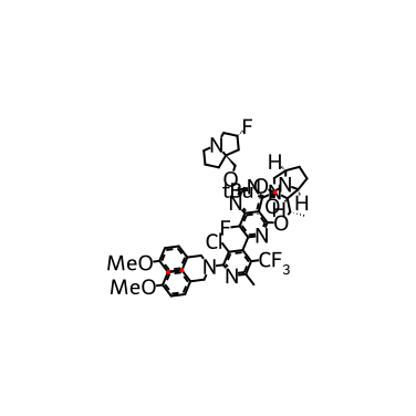 COc1ccc(CN(Cc2ccc(OC)cc2)c2nc(C)c(C(F)(F)F)c(-c3nc4c5c(nc(OC[C@@]67CCCN6C[C@H](F)C7)nc5c3F)N3C[C@H]5CC[C@@H]([C@H]3[C@H](C)O4)N5C(=O)OC(C)(C)C)c2Cl)cc1